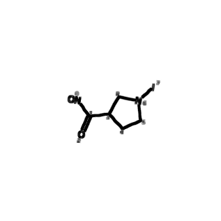 O=NC(=O)C1CCN(I)C1